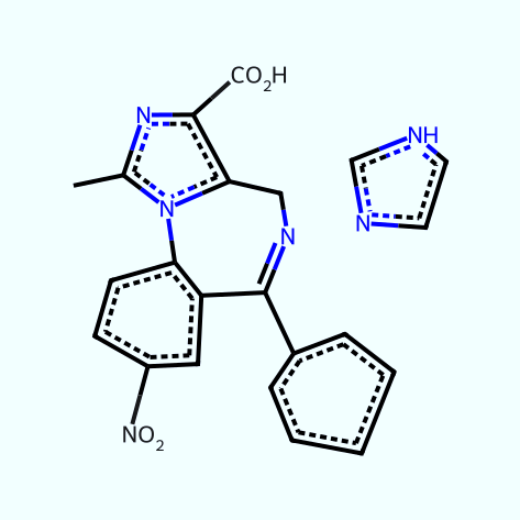 Cc1nc(C(=O)O)c2n1-c1ccc([N+](=O)[O-])cc1C(c1ccccc1)=NC2.c1c[nH]cn1